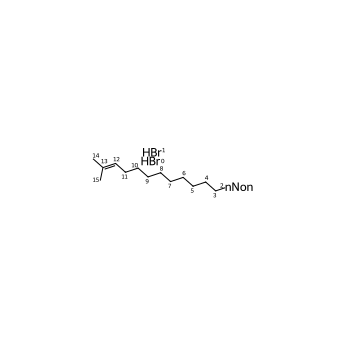 Br.Br.CCCCCCCCCCCCCCCCCCC=C(C)C